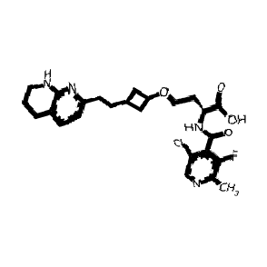 Cc1ncc(Cl)c(C(=O)N[C@@H](CCOC2CC(CCc3ccc4c(n3)NCCC4)C2)C(=O)O)c1F